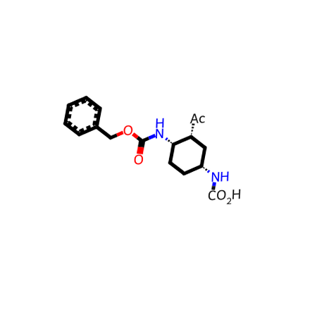 CC(=O)[C@@H]1C[C@H](NC(=O)O)CC[C@@H]1NC(=O)OCc1ccccc1